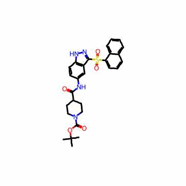 CC(C)(C)OC(=O)N1CCC(C(=O)Nc2ccc3[nH]nc(S(=O)(=O)c4cccc5ccccc45)c3c2)CC1